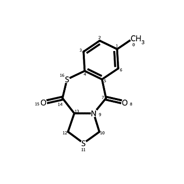 Cc1ccc2c(c1)C(=O)N1CSCC1C(=O)S2